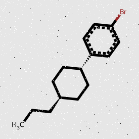 CCC[C@H]1CC[C@H](c2ccc(Br)cc2)CC1